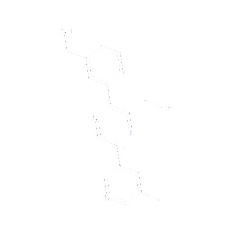 Cc1nc(-c2cccc(CN)c2)c(CO)nc1-c1cncc(Cl)c1